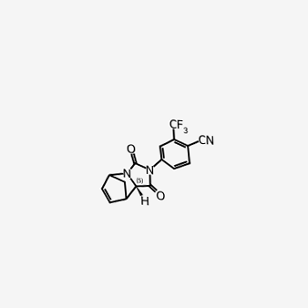 N#Cc1ccc(N2C(=O)[C@@H]3C4C=CC(C4)N3C2=O)cc1C(F)(F)F